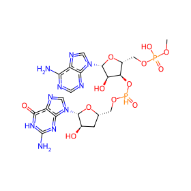 COP(=O)(O)OC[C@H]1O[C@@H](n2cnc3c(N)ncnc32)[C@H](O)[C@@H]1O[PH](=O)OC[C@@H]1C[C@@H](O)[C@H](n2cnc3c(=O)[nH]c(N)nc32)O1